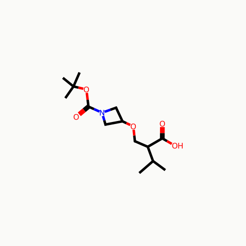 CC(C)C(COC1CN(C(=O)OC(C)(C)C)C1)C(=O)O